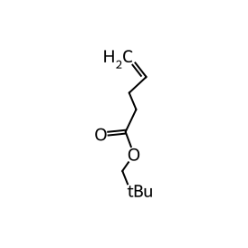 C=CCCC(=O)OCC(C)(C)C